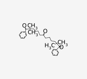 CC(C)(CCCCC(=O)CCCCC(C)(C)C(=O)c1ccccc1)C(=O)c1ccccc1